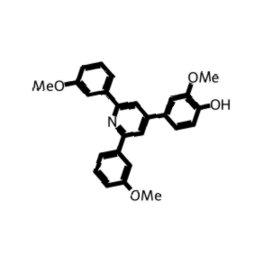 COc1cccc(-c2cc(-c3ccc(O)c(OC)c3)cc(-c3cccc(OC)c3)n2)c1